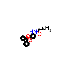 CCCC(=O)Nc1ccc2c(c1)OC(c1ccccc1)(c1ccccc1)O2